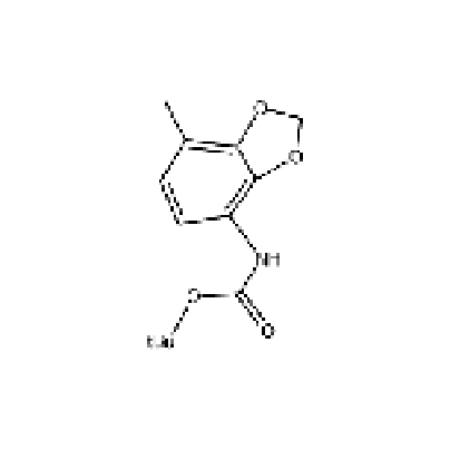 Cc1ccc(NC(=O)OC(C)(C)C)c2c1OCO2